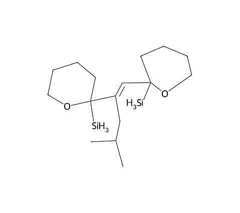 CC(C)CC(=CC1([SiH3])CCCCO1)C1([SiH3])CCCCO1